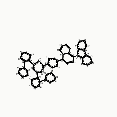 C1=CC2=C(n3c4ccccc4c4ccccc43)C=CC(c3ccc(-c4nc(-c5ccccc5-c5ccccc5)cc(-c5ccccc5-c5ccccc5)n4)cc3)C2C=C1